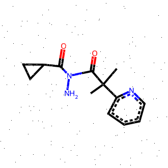 CC(C)(C(=O)N(N)C(=O)C1CC1)c1ccccn1